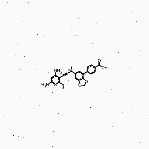 CCc1nc(N)cc(N)c1C#C[C@@H](C)c1cc2c(c(-c3ccc(C(=O)O)cc3)c1)OCO2